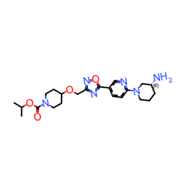 CC(C)OC(=O)N1CCC(OCc2noc(-c3ccc(N4CCC[C@@H](N)C4)nc3)n2)CC1